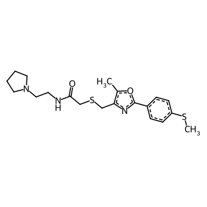 CSc1ccc(-c2nc(CSCC(=O)NCCN3CCCC3)c(C)o2)cc1